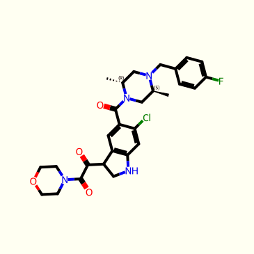 C[C@@H]1CN(Cc2ccc(F)cc2)[C@@H](C)CN1C(=O)c1cc2c(cc1Cl)NCC2C(=O)C(=O)N1CCOCC1